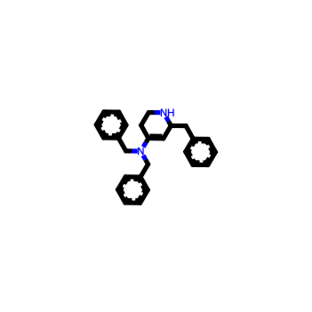 C1=C(N(Cc2ccccc2)Cc2ccccc2)CCNC1Cc1ccccc1